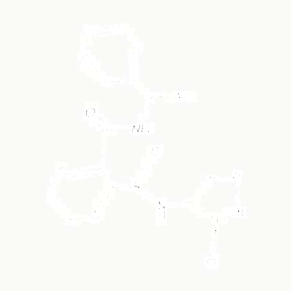 CCC(NC(=O)c1ccccc1C(=O)NC1CON=C1Cl)c1ccccc1